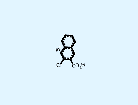 O=C(O)c1cc2ccccc2cc1Cl.[In]